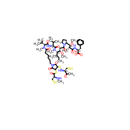 CC[C@@H](C)[C@@H]([C@@H](CC(=O)N1CCC[C@H]1[C@H](OC)[C@@H](C)C(=O)N[C@@H](Cc1ccccc1)C(=O)O)OC)N(C)C(=O)[C@@H](NC(=O)[C@H](C(C)C)N(C)C(=O)CCCCCN1C(=O)C(SN[C@@H](CS)C(C)=O)C(SC(=O)[C@H](CS)NC)C1=O)C(C)C